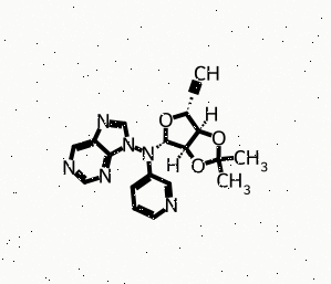 C#C[C@H]1O[C@@H](N(c2cccnc2)n2cnc3cncnc32)[C@@H]2OC(C)(C)O[C@@H]21